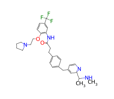 CNC(C)c1cc(Cc2ccc(CCC(=O)Nc3cc(C(F)(F)F)ccc3OCCN3CCCC3)cc2)ccn1